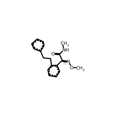 CNC(=O)/C(=N/OC)c1ccccc1CCc1ccccc1